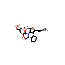 CC(C)(C)C#Cc1cc(N2C(=O)[C@@H](CCCO)OC[C@H]2C2CCCCC2)c(C(=O)O)s1